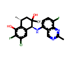 Cc1ncc2c(N[C@H]3c4cc(Cl)c(F)c(O)c4[C@H](C)CC3(O)C(F)(F)F)ccc(F)c2n1